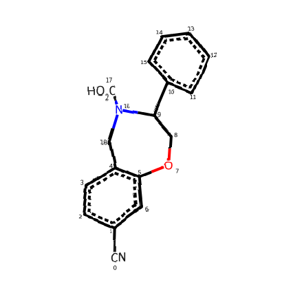 N#Cc1ccc2c(c1)OCC(c1ccccc1)N(C(=O)O)C2